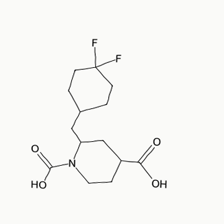 O=C(O)C1CCN(C(=O)O)C(CC2CCC(F)(F)CC2)C1